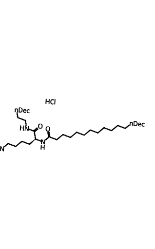 CCCCCCCCCCCCCCCCCCCCCC(=O)N[C@@H](CCCCN)C(=O)NCCCCCCCCCCCC.Cl